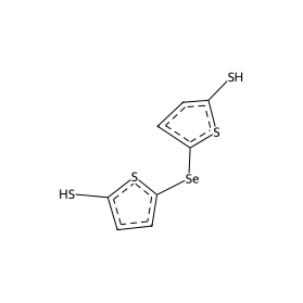 Sc1ccc([Se]c2ccc(S)s2)s1